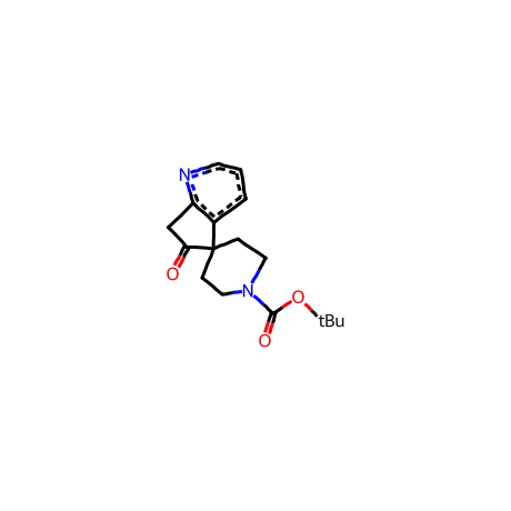 CC(C)(C)OC(=O)N1CCC2(CC1)C(=O)Cc1ncccc12